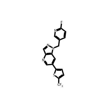 Fc1ccc(Cn2ncc3ncc(-c4ccc(C(F)(F)F)s4)cc32)cn1